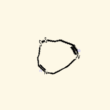 C1=N\CC/N=C\CSSC/1